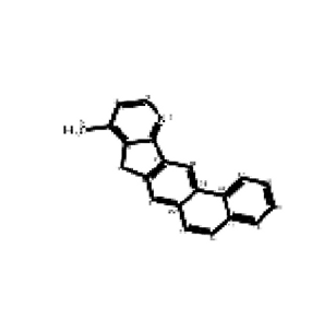 Cc1ccnc2c1Cc1cc3ccc4ccccc4c3cc1-2